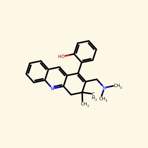 CN(C)CC1=C(c2ccccc2O)c2cc3ccccc3nc2CC1(C)C